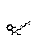 CCN(CCOCCOC)C(C)c1ccccc1C